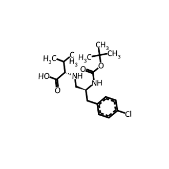 CC(C)[C@H](NC[C@H](Cc1ccc(Cl)cc1)NC(=O)OC(C)(C)C)C(=O)O